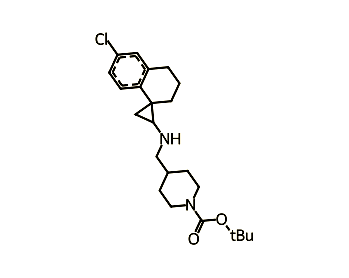 CC(C)(C)OC(=O)N1CCC(CNC2CC23CCCc2cc(Cl)ccc23)CC1